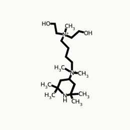 CC1(C)CC([N+](C)(C)CCCC[N+](C)(CCO)CCO)CC(C)(C)N1